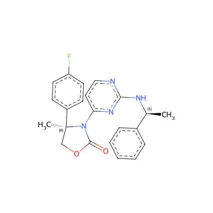 C[C@H](Nc1nccc(N2C(=O)OC[C@@]2(C)c2ccc(F)cc2)n1)c1ccccc1